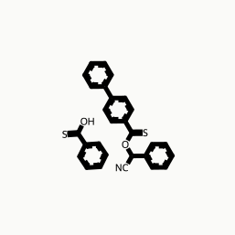 N#CC(OC(=S)c1ccc(-c2ccccc2)cc1)c1ccccc1.OC(=S)c1ccccc1